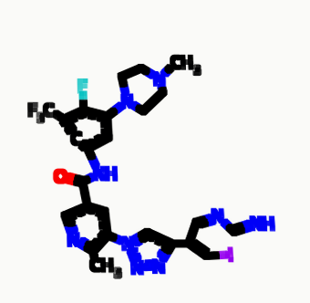 Cc1ncc(C(=O)Nc2cc(N3CCN(C)CC3)c(F)c(C(F)(F)F)c2)cc1-n1cc(C(/C=N\C=N)=C/I)nn1